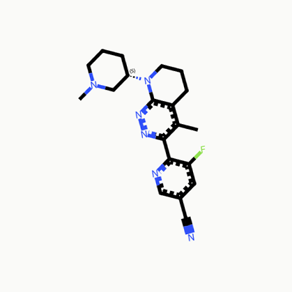 Cc1c(-c2ncc(C#N)cc2F)nnc2c1CCCN2[C@H]1CCCN(C)C1